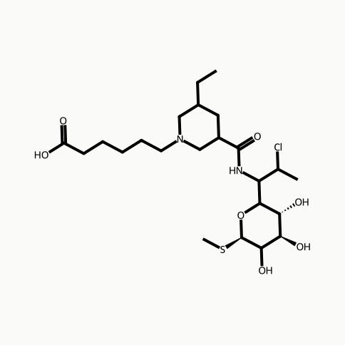 CCC1CC(C(=O)NC(C(C)Cl)C2O[C@H](SC)C(O)[C@H](O)[C@H]2O)CN(CCCCCC(=O)O)C1